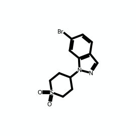 O=S1(=O)CCC(n2ncc3ccc(Br)cc32)CC1